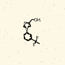 CC(F)(F)c1cccc(-n2cnc(CO)c2)c1